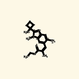 CCOC(=O)C(C)=Cc1cc2c(cc1C)nc(C1(N)CCC1)n2C